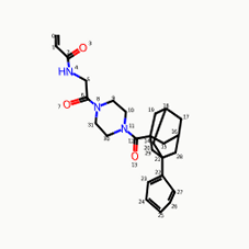 C=CC(=O)NCC(=O)N1CCN(C(=O)C23CC4CC(C2)CC(c2ccccc2)(C4)C3)CC1